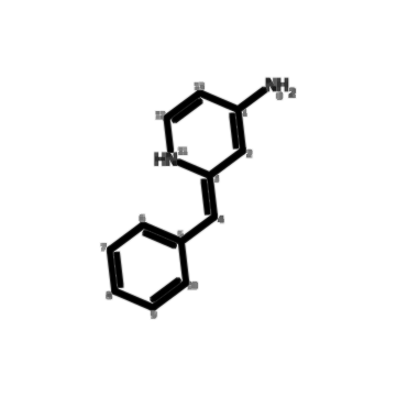 NC1=CC(=Cc2ccccc2)NC=C1